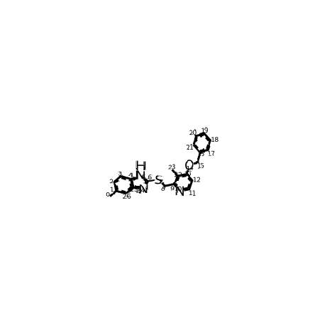 Cc1ccc2[nH]c(SCc3nccc(OCc4ccccc4)c3C)nc2c1